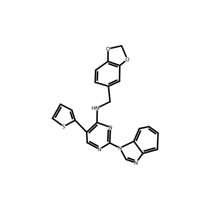 c1csc(-c2cnc(-n3cnc4ccccc43)nc2NCc2ccc3c(c2)OCO3)c1